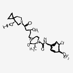 C[C@H]1C(=O)N(C[C@H](O)CC(=O)N2CCC3(CC3)[C@H](O)C2)CCN1C(=O)Nc1ccc(OC(F)(F)F)c(Cl)c1